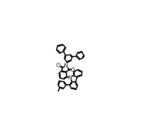 Cc1cccc(-c2cccc3c4ccccc4n(-c4cccc5c4C(=O)N(c4cc(-c6ccccc6)cc(-c6ccccc6)c4)C5=O)c23)c1